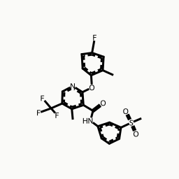 Cc1cc(F)ccc1Oc1ncc(C(F)(F)F)c(C)c1C(=O)Nc1cccc(S(C)(=O)=O)c1